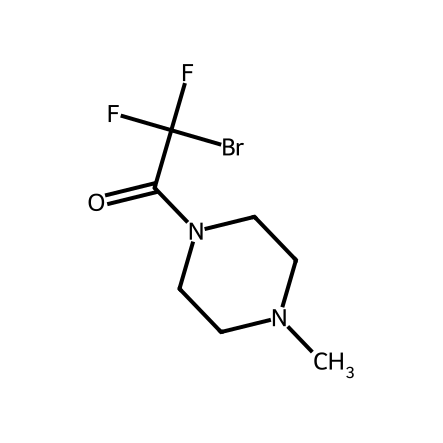 CN1CCN(C(=O)C(F)(F)Br)CC1